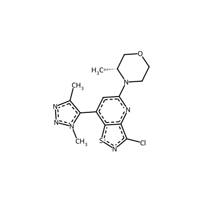 Cc1nnn(C)c1-c1cc(N2CCOC[C@H]2C)nc2c(Cl)nsc12